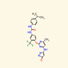 Cc1cc(NC2=CC(=O)N=N2)nc(Oc2ccc(NC(=O)Nc3ccc(C(C)C)cc3)cc2C(F)(F)F)n1